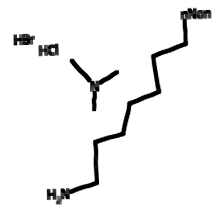 Br.CCCCCCCCCCCCCCCCN.CN(C)C.Cl